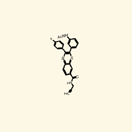 C#CCNC(=O)c1ccc2nc(-c3ccc(F)cc3)c(-c3cccc(NC(C)=O)c3)nc2c1